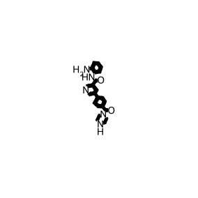 Nc1ccccc1NC(=O)c1cncc(-c2ccc(C(=O)N3CCNCC3)cc2)c1